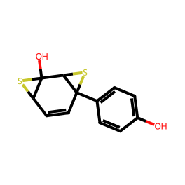 Oc1ccc(C23C=CC4SC4(O)C2S3)cc1